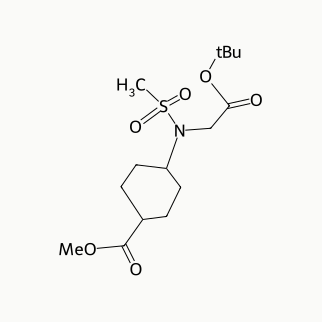 COC(=O)C1CCC(N(CC(=O)OC(C)(C)C)S(C)(=O)=O)CC1